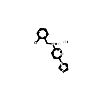 Cl.Cl.Clc1ccccc1CNc1ccc(-n2ccnc2)nn1